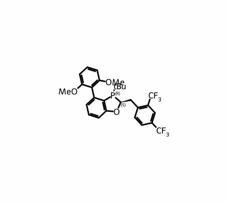 COc1cccc(OC)c1-c1cccc2c1[P@](C(C)(C)C)[C@@H](Cc1ccc(C(F)(F)F)cc1C(F)(F)F)O2